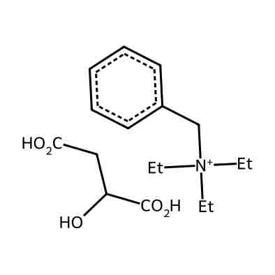 CC[N+](CC)(CC)Cc1ccccc1.O=C(O)CC(O)C(=O)O